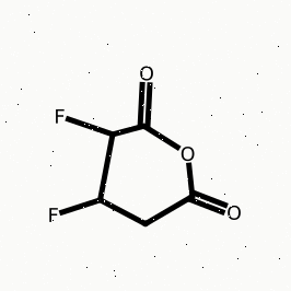 O=C1CC(F)C(F)C(=O)O1